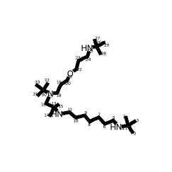 CC(C)(C)NCCCCCCCNC(C)(C)CN(CCCOCCCNC(C)(C)C)C(C)(C)C